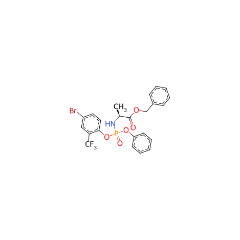 C[C@H](NP(=O)(Oc1ccccc1)Oc1ccc(Br)cc1C(F)(F)F)C(=O)OCc1ccccc1